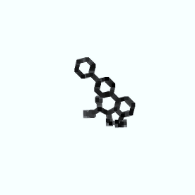 O=C(O)c1n[nH]c2cccc(-c3ccc(C4=CCCCC4)cc3)c12